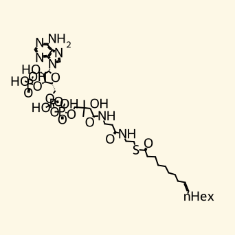 CCCCCC/C=C\CCCCCCCC(=O)SCCNC(=O)CCNC(=O)C(O)C(C)(C)COP(=O)(O)OP(=O)(O)OC[C@H]1O[C@@H](n2cnc3c(N)ncnc32)[C@H](O)[C@@H]1OP(=O)(O)O